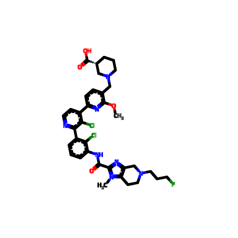 COc1nc(-c2ccnc(-c3cccc(NC(=O)c4nc5c(n4C)CCN(CCCF)C5)c3Cl)c2Cl)ccc1CN1CCC[C@@H](C(=O)O)C1